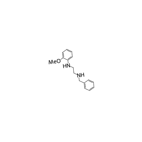 COc1ccccc1NCCNCc1ccccc1